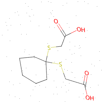 O=C(O)CSC1(SCC(=O)O)CCCCC1